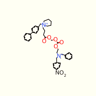 C[N+](CCOC(=O)OCOC(=O)CCC[N+]1(Cc2ccc(-c3ccccc3)cc2)CCCCC1)(Cc1ccccc1)Cc1ccc([N+](=O)[O-])cc1